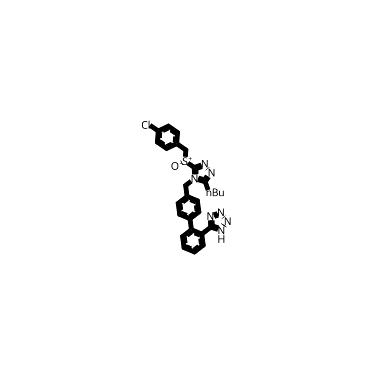 CCCCc1nnc([S+]([O-])Cc2ccc(Cl)cc2)n1Cc1ccc(-c2ccccc2-c2nnn[nH]2)cc1